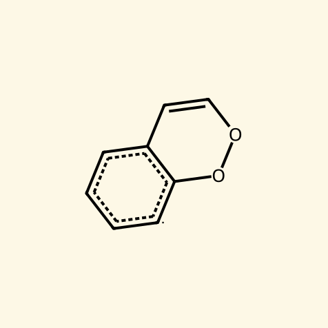 [c]1cccc2c1OOC=C2